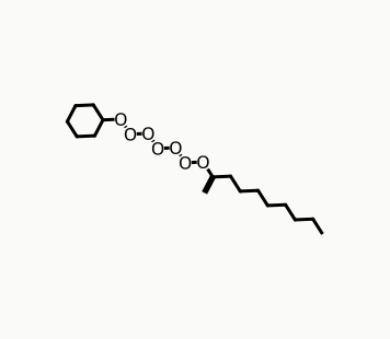 C=C(CCCCCCCC)OOOOOOOC1CCCCC1